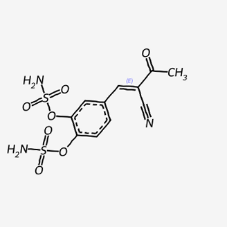 CC(=O)/C(C#N)=C/c1ccc(OS(N)(=O)=O)c(OS(N)(=O)=O)c1